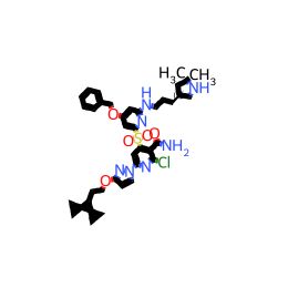 CC1(C)C[C@H](CCCNc2cc(OCc3ccccc3)cc(S(=O)(=O)c3cc(-n4ccc(OCCC5C6(CC6)C56CC6)n4)nc(Cl)c3C(N)=O)n2)CN1